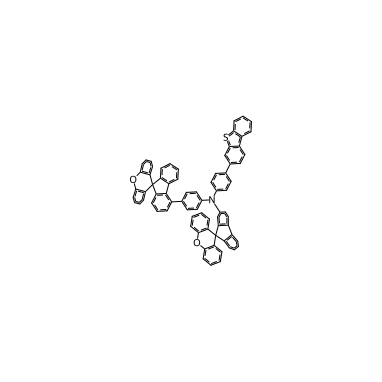 c1ccc2c(c1)Oc1ccccc1C21c2ccccc2-c2ccc(N(c3ccc(-c4ccc5c(c4)sc4ccccc45)cc3)c3ccc(-c4cccc5c4-c4ccccc4C54c5ccccc5Oc5ccccc54)cc3)cc21